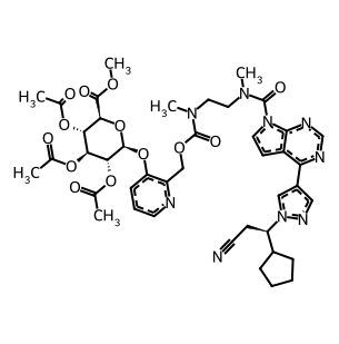 COC(=O)[C@H]1O[C@@H](Oc2cccnc2COC(=O)N(C)CCN(C)C(=O)n2ccc3c(-c4cnn([C@H](CC#N)C5CCCC5)c4)ncnc32)[C@H](OC(C)=O)[C@@H](OC(C)=O)[C@@H]1OC(C)=O